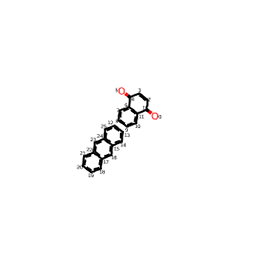 O=C1C=CC(=O)c2ccccc21.c1ccc2cc3ccccc3cc2c1